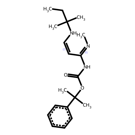 CCC(C)(C)N/C=C\C(=N/C)NC(=O)OC(C)(C)c1ccccc1